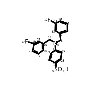 O=S(=O)(O)c1ccc(N(Cc2cccc(F)c2)Cc2cccc(F)c2)cc1